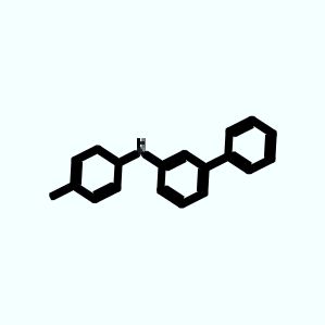 CC1=CCC(Nc2cccc(-c3ccccc3)c2)C=C1